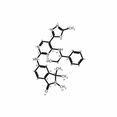 Cc1nnc(-c2cnc(Nc3ccc4c(c3)C(C)(C)N(C)C4=O)nc2N[C@H](CO)c2ccccc2)o1